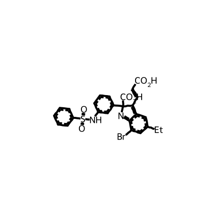 CCc1cc(Br)c2c(c1)=C(C=CC(=O)O)C(C(=O)O)(c1cccc(NS(=O)(=O)c3ccccc3)c1)N=2